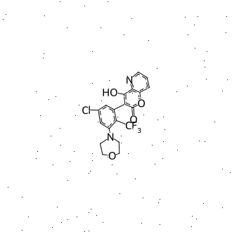 O=c1oc2cccnc2c(O)c1-c1cc(Cl)cc(N2CCOCC2)c1C(F)(F)F